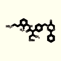 COCC(C)C(C(=O)Nc1cccc(CCC(=O)O)c1C)c1ccc(CN2N=C(c3ccccc3)OCC2=O)cc1